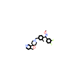 CO/N=C(/c1ccc(F)c(F)c1)c1ccc(CN2CCC3(CC2)OCc2ccncc23)cc1C